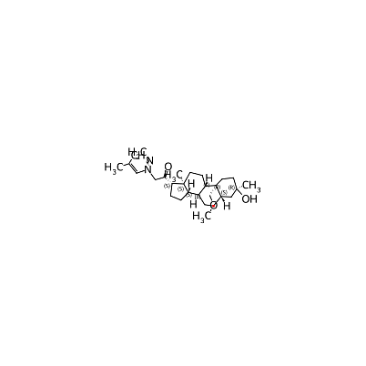 C=NN(C=C(C)C)CC(=O)[C@H]1CC[C@H]2[C@@H]3CC[C@H]4C[C@](C)(O)CC[C@]4(COC)[C@H]3CC[C@]12C